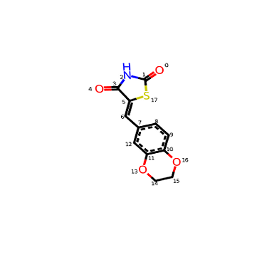 O=C1NC(=O)C(=Cc2ccc3c(c2)OCCO3)S1